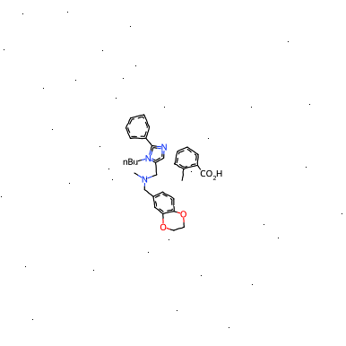 CCCCn1c(CN(C)Cc2ccc3c(c2)OCCO3)cnc1-c1ccccc1.Cc1ccccc1C(=O)O